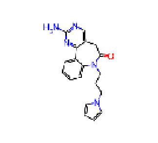 Nc1ncc2c(n1)-c1ccccc1N(CCCn1cccc1)C(=O)C2